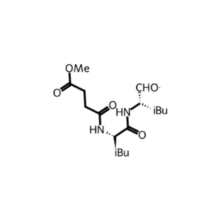 CC[C@H](C)[C@H](NC(=O)CCC(=O)OC)C(=O)N[C@H]([C]=O)[C@@H](C)CC